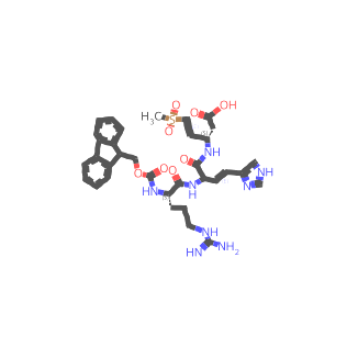 CS(=O)(=O)/C=C/[C@H](CC(=O)O)NC(=O)C(/C=C/c1c[nH]cn1)NC(=O)[C@H](CCCNC(=N)N)NC(=O)OCC1c2ccccc2-c2ccccc21